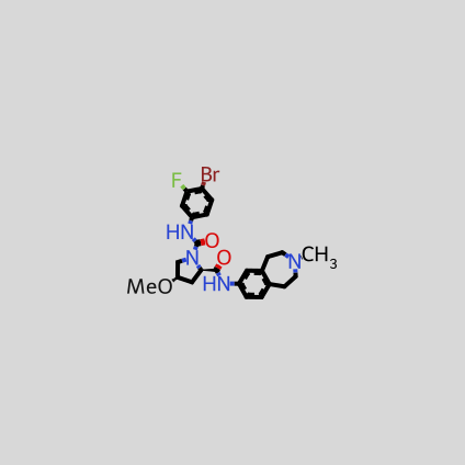 CO[C@@H]1C[C@H](C(=O)Nc2ccc3c(c2)CCN(C)CC3)N(C(=O)Nc2ccc(Br)c(F)c2)C1